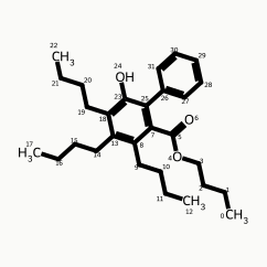 CCCCOC(=O)c1c(CCCC)c(CCCC)c(CCCC)c(O)c1-c1ccccc1